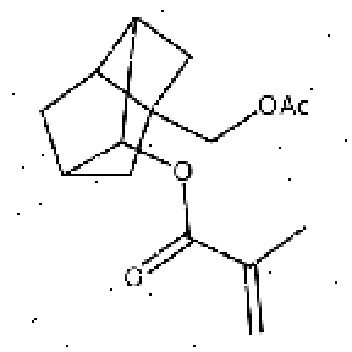 C=C(C)C(=O)OC1C2CC3C1CC3(COC(C)=O)C2